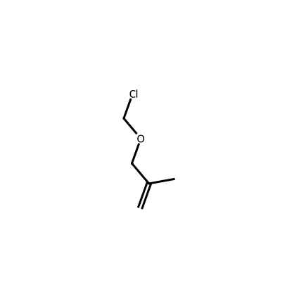 C=C(C)COCCl